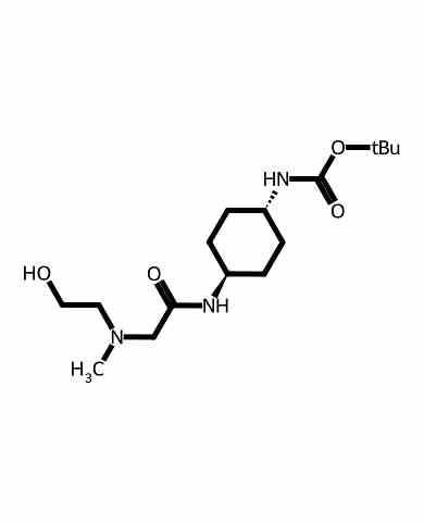 CN(CCO)CC(=O)N[C@H]1CC[C@H](NC(=O)OC(C)(C)C)CC1